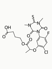 CC(Oc1cc(-n2c(=O)n(C)c(=S)n(C)c2=O)c(F)cc1Cl)C(=O)OCCCC(=O)O